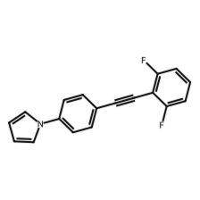 Fc1cccc(F)c1C#Cc1ccc(-n2cccc2)cc1